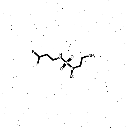 CCN(CCN)S(=O)(=O)NCCC(F)F